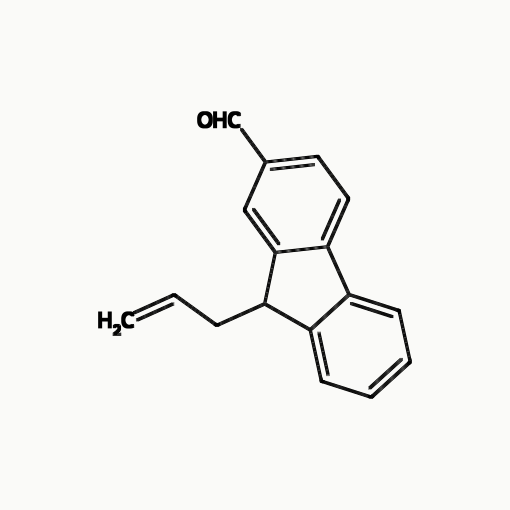 C=CCC1c2ccccc2-c2ccc(C=O)cc21